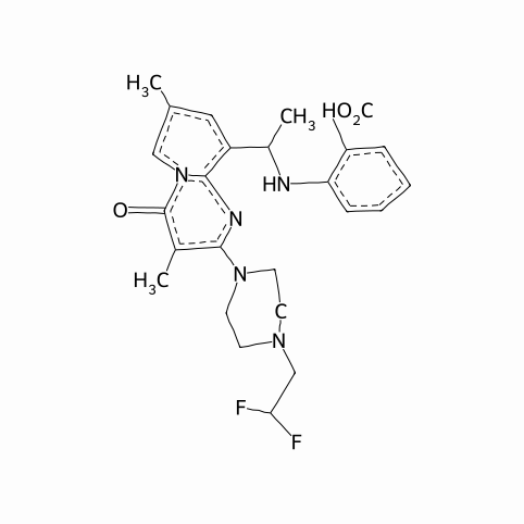 Cc1cc(C(C)Nc2ccccc2C(=O)O)c2nc(N3CCN(CC(F)F)CC3)c(C)c(=O)n2c1